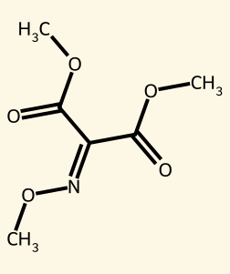 CON=C(C(=O)OC)C(=O)OC